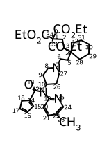 CCOC(=O)C(CCC1(CCN2CCC(N(C(=O)C3=CC=CC3)c3ccc(C)cn3)CC2)CCCCC1)(C(=O)OCC)C(=O)OCC